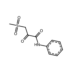 CS(=O)(=O)CC(=O)C(=O)Nc1ccccc1